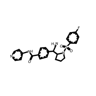 NC(c1ccc(C(=O)Nc2ccncc2)cc1)C1CCCN1S(=O)(=O)c1ccc(F)cc1